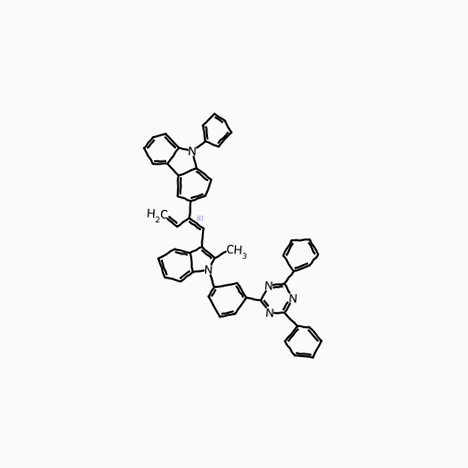 C=C/C(=C\c1c(C)n(-c2cccc(-c3nc(-c4ccccc4)nc(-c4ccccc4)n3)c2)c2ccccc12)c1ccc2c(c1)c1ccccc1n2-c1ccccc1